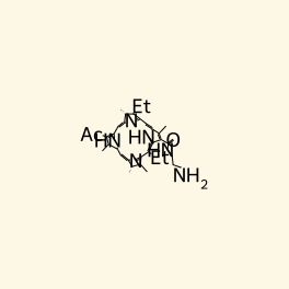 CC/C1=c2/[nH]/c(c(C)c2C(=O)NCCCN)=C\C2=NC(=C\C3=C(C(C)=O)C(C)C(/C=C4N=C1C(C)[C@@H]\4C)N3)/[C@H](C)[C@H]2CC